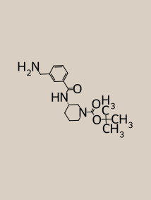 CC(C)(C)OC(=O)N1CCC[C@H](NC(=O)c2cccc(CN)c2)C1